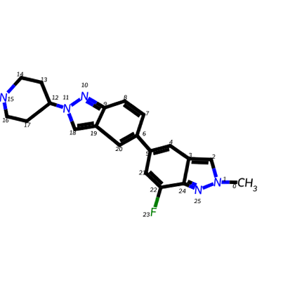 Cn1cc2cc(-c3ccc4nn(C5CCNCC5)cc4c3)cc(F)c2n1